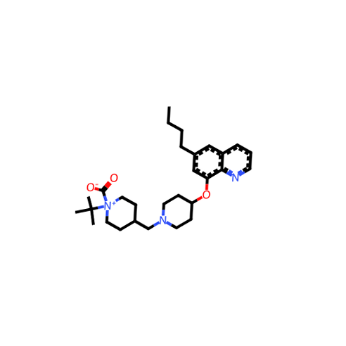 CCCCc1cc(OC2CCN(CC3CC[N+](C(=O)[O-])(C(C)(C)C)CC3)CC2)c2ncccc2c1